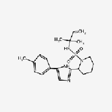 C=CC(C)(C)NS(=O)(=O)N1CCCCC1c1ncc(-c2ccc(C)cc2)[nH]1